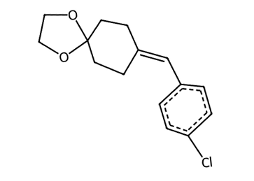 Clc1ccc(C=C2CCC3(CC2)OCCO3)cc1